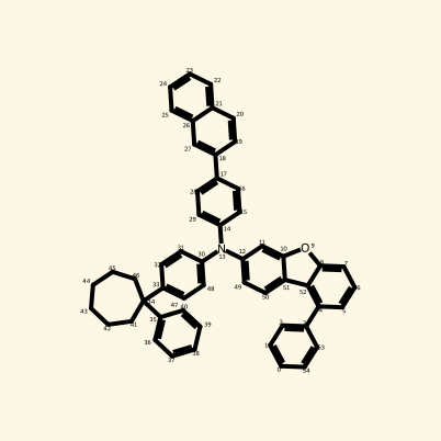 c1ccc(-c2cccc3oc4cc(N(c5ccc(-c6ccc7ccccc7c6)cc5)c5ccc(C6(c7ccccc7)CCCCCC6)cc5)ccc4c23)cc1